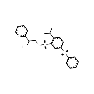 CC(C)c1ccc(S(=O)(=O)c2ccccc2)cc1S(=O)(=O)NCC(O)c1ccccn1